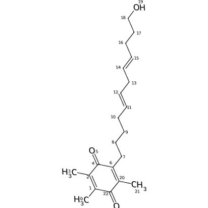 CC1=C(C)C(=O)C(CCCC/C=C/C/C=C/CCCO)=C(C)C1=O